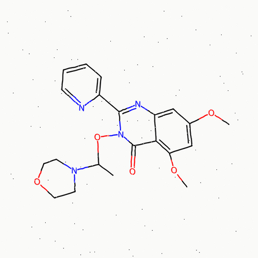 COc1cc(OC)c2c(=O)n(OC(C)N3CCOCC3)c(-c3ccccn3)nc2c1